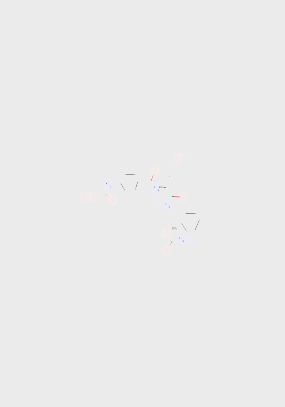 CN(C(=O)O)c1ccc(C(=O)N[C@@H](CC[S+](C)[O-])C(=O)N2CCC[C@@]3(C2)OC(=O)Nc2ccc(Cl)cc23)cc1